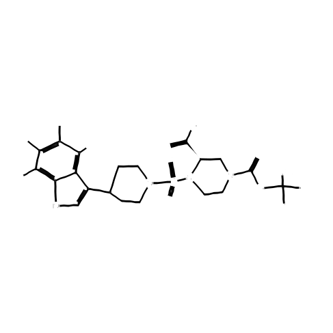 CC(C)(C)OC(=O)N1CCN(S(=O)(=O)N2CCC(c3c[nH]c4c(F)c(F)c(F)c(F)c34)CC2)[C@@H](C(=O)O)C1